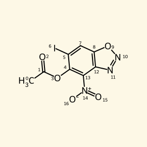 CC(=O)Oc1c(I)cc2onnc2c1[N+](=O)[O-]